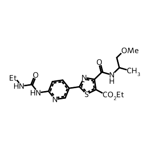 CCNC(=O)Nc1ccc(-c2nc(C(=O)NC(C)COC)c(C(=O)OCC)s2)cn1